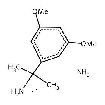 COc1cc(OC)cc(C(C)(C)N)c1.N